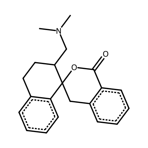 CN(C)CC1CCc2ccccc2C12Cc1ccccc1C(=O)O2